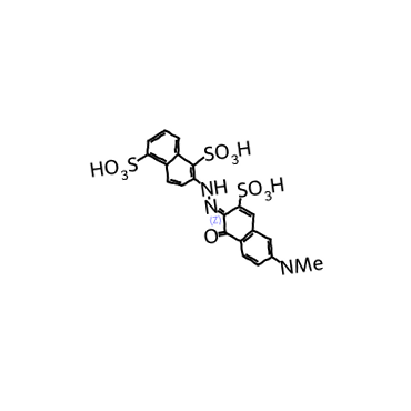 CNc1ccc2c(c1)C=C(S(=O)(=O)O)/C(=N\Nc1ccc3c(S(=O)(=O)O)cccc3c1S(=O)(=O)O)C2=O